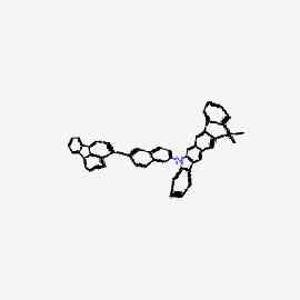 CC1(C)c2ccccc2-c2cc3cc4c(cc3cc21)c1ccccc1n4-c1ccc2cc(-c3ccc4c5c(cccc35)-c3ccccc3-4)ccc2c1